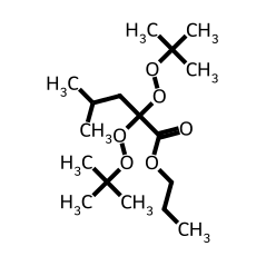 CCCOC(=O)C(CC(C)C)(OOC(C)(C)C)OOC(C)(C)C